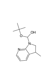 CC1CN(C(O)OC(C)(C)C)c2ncccc21